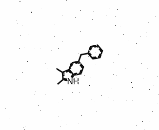 Cc1[nH]c2ccc(Cc3ccccc3)cc2c1C